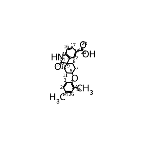 Cc1ccc(OC2CCC3(CC2)C(=O)Nc2ccc(C(=O)O)cc23)c(C)c1